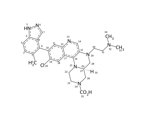 Cc1ccc2[nH]ncc2c1-c1cc2ncc3c(c2cc1Cl)N1CCN(C(=O)O)C[C@@H]1CN3CCN(C)C